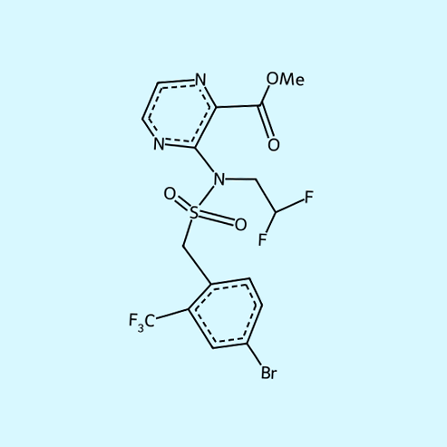 COC(=O)c1nccnc1N(CC(F)F)S(=O)(=O)Cc1ccc(Br)cc1C(F)(F)F